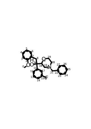 COc1ccccc1C[C@@](O)(c1cccc(F)c1)C1CN(Cc2ccccc2)CCO1